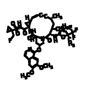 COc1cc2ccnc(O[C@@H]3C[C@H]4C(=O)N[C@]5(C(=O)NS(=O)(=O)C6(CF)CC6)C[C@H]5/C=C\CC[C@H](C)C[C@@H](C)[C@H](NC(=O)OC(C)(C)C(F)(F)F)C(=O)N4C3)c2cc1OC